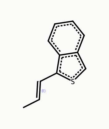 C/C=[C]/c1scc2ccccc12